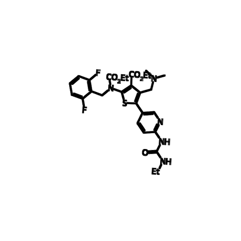 CCNC(=O)Nc1ccc(-c2sc(N(Cc3c(F)cccc3F)C(=O)OCC)c(C(=O)OCC)c2CN(C)C)cn1